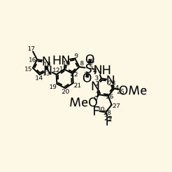 COc1nc(NS(=O)(=O)c2c[nH]c3c(-n4ccc(C)n4)cccc23)nc(OC)c1CC(F)F